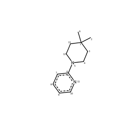 CC1(C)CCN(c2ccccn2)CC1